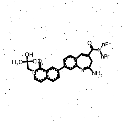 CCCN(CCC)C(=O)C1=Cc2ccc(-c3ccc4ccn(CC(C)(C)O)c(=O)c4c3)cc2N=C(N)C1